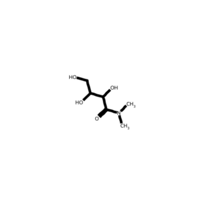 CN(C)C(=O)C(O)C(O)CO